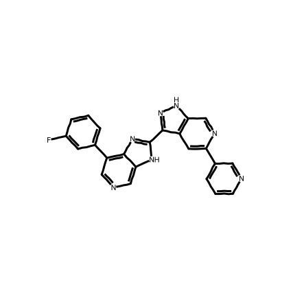 Fc1cccc(-c2cncc3[nH]c(-c4n[nH]c5cnc(-c6cccnc6)cc45)nc23)c1